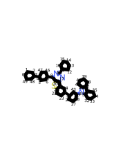 c1ccc(-c2ccc(-c3nc(-c4ccccc4)nc4c3sc3ccc(-c5cccc(-n6c7ccccc7c7ccccc76)c5)cc34)cc2)cc1